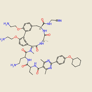 CCC(NC(=O)c1c(C)nc(-c2ccc(OC3CCCCC3)cc2)nc1C)C(=O)NC(CCN)C(=O)N(C)[C@@H]1C(=O)N[C@@H](C)C(=O)N[C@H](C(=O)NCC#N)Cc2ccc(OCCN)c(c2)-c2cc1ccc2OCCN